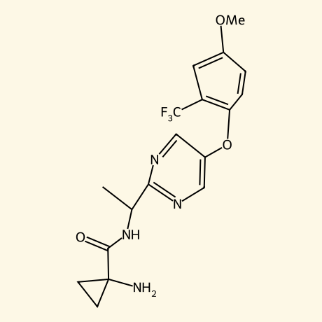 COc1ccc(Oc2cnc(C(C)NC(=O)C3(N)CC3)nc2)c(C(F)(F)F)c1